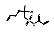 C=CCOC(C)(O)CS(=O)(=O)NC(=O)C=C